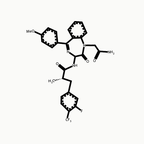 COc1ccc(C2=NC(NC(=O)[C@@H](C)Cc3ccc(C(F)(F)F)c(F)c3)C(=O)N(CC(N)=O)c3ccccc32)cc1